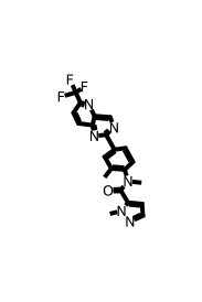 Cc1cc(-c2ncc3nc(C(F)(F)F)ccc3n2)ccc1N(C)C(=O)c1ccnn1C